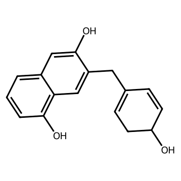 Oc1cc2cccc(O)c2cc1CC1=CCC(O)C=C1